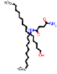 CCCCCCCCCCCCCCCCCCC(CCCCCO)(CCCCCCCCCCCCCCCCCC)NC(=O)CCC(N)=O